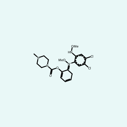 CONc1cc(Cl)c(Cl)cc1/[N+](OC)=C1\CC=CC=C1OC(=O)N1CCN(C)CC1